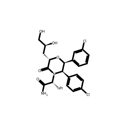 CCC[C@H](C(N)=O)N1C(=O)[C@H](C[C@H](O)CO)O[C@@H](c2cccc(Cl)c2)[C@H]1c1ccc(Cl)cc1